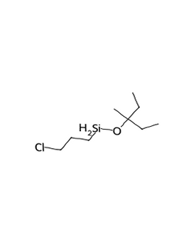 CCC(C)(CC)O[SiH2]CCCCl